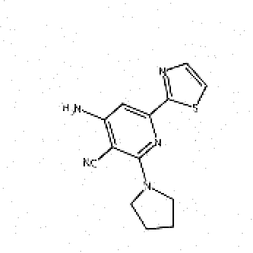 N#Cc1c(N)cc(-c2nccs2)nc1N1CCCC1